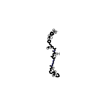 COC(CC1CCCC(C(=O)C(=O)N2CCCCC2)O1)/C(C)=C/C=C/C=C/C(C)CC(C)C(=O)CC(O)/C(C)=C/C(C)CCC(CCC1CCC(OC(=O)Oc2ccc([N+](=O)[O-])cc2)CC1)OC=O